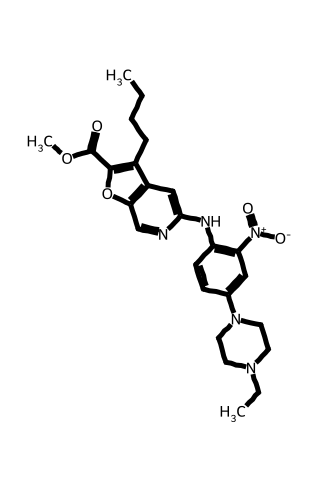 CCCCc1c(C(=O)OC)oc2cnc(Nc3ccc(N4CCN(CC)CC4)cc3[N+](=O)[O-])cc12